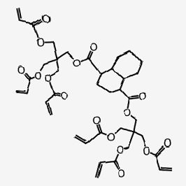 C=CC(=O)OCC(COC(=O)C=C)(COC(=O)C=C)COC(=O)C1CCC(C(=O)OCC(COC(=O)C=C)(COC(=O)C=C)COC(=O)C=C)C2CCCCC12